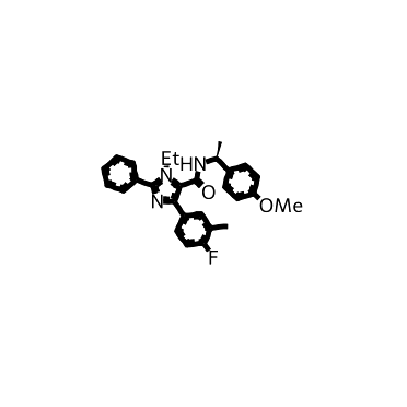 CCn1c(-c2ccccc2)nc(-c2ccc(F)c(C)c2)c1C(=O)N[C@@H](C)c1ccc(OC)cc1